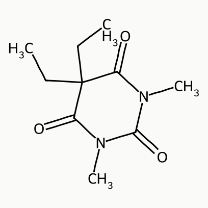 CCC1(CC)C(=O)N(C)C(=O)N(C)C1=O